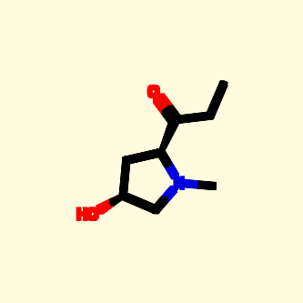 CCC(=O)[C@@H]1C[C@H](O)CN1C